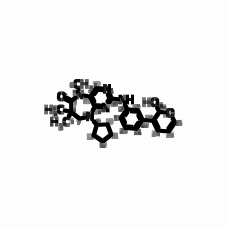 CN1C(=O)C(C)(C)CN(C2CCCC2)c2nc(Nc3cccc(C4=CC=COC4O)c3)ncc21